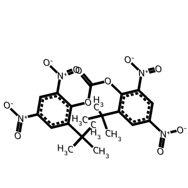 CC(C)(C)c1cc([N+](=O)[O-])cc([N+](=O)[O-])c1OC(=O)Oc1c([N+](=O)[O-])cc([N+](=O)[O-])cc1C(C)(C)C